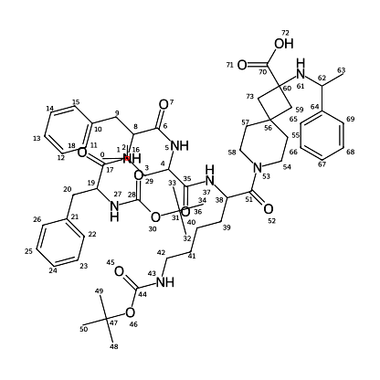 CC(C)CC(NC(=O)C(Cc1ccccc1)NC(=O)C(Cc1ccccc1)NC(=O)OC(C)(C)C)C(=O)NC(CCCCNC(=O)OC(C)(C)C)C(=O)N1CCC2(CC1)CC(NC(C)c1ccccc1)(C(=O)O)C2